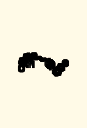 O=C1Cc2cccc(N3CCN(CCCCOc4ccc5ccc(=O)[nH]c5n4)CC3)c2C1